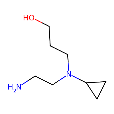 NCCN(CCCO)C1CC1